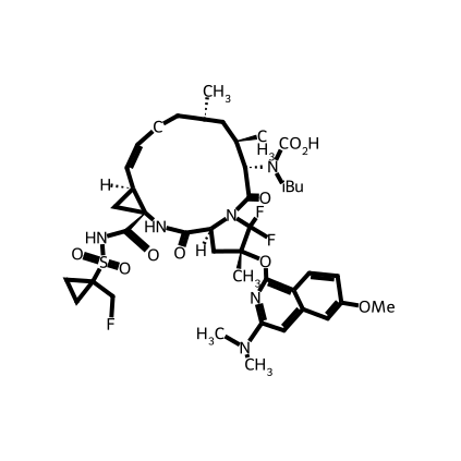 CCC(C)N(C(=O)O)[C@@H]1C(=O)N2[C@@H](C[C@@](C)(Oc3nc(N(C)C)cc4cc(OC)ccc34)C2(F)F)C(=O)N[C@]2(C(=O)NS(=O)(=O)C3(CF)CC3)C[C@H]2/C=C\CC[C@H](C)C[C@H]1C